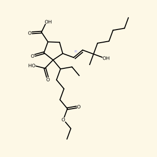 CCCCCC(C)(O)/C=C/C1CC(C(=O)O)C(=O)C1(C(=O)O)C(CC)CCCC(=O)OCC